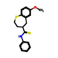 COc1ccc2c(c1)CC(C(=S)Nc1ccccc1)CCS2